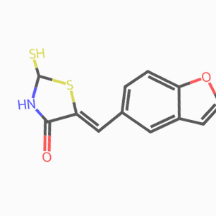 O=C1NC(S)S/C1=C\c1ccc2occc2c1